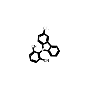 N#Cc1cccc(C#N)c1-n1c2ccccc2c2cc(C(F)(F)F)ccc21